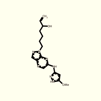 C=CC(O)CCCCn1ncc2ncc(Nc3cc(OC)[nH]n3)nc21